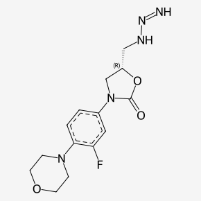 N=NNC[C@H]1CN(c2ccc(N3CCOCC3)c(F)c2)C(=O)O1